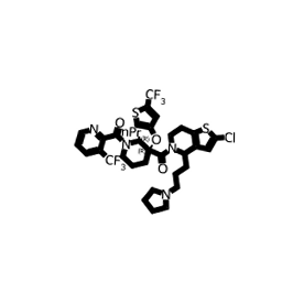 CCC[C@H]1N(C(=O)c2ncccc2C(F)(F)F)CCC[C@]1(Oc1csc(C(F)(F)F)c1)C(=O)N1CCc2sc(Cl)cc2C1CCCN1CCCC1